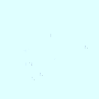 OC(c1cc(-c2ccncc2)sc1-c1nnc[nH]1)c1c(F)ccc2ccccc12